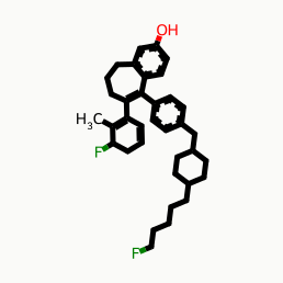 CC1=C(C2=C(c3ccc(CC4CCC(CCCCCF)CC4)cc3)c3ccc(O)cc3CCC2)C=CCC1F